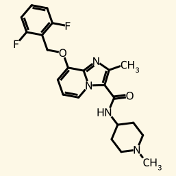 Cc1nc2c(OCc3c(F)cccc3F)cccn2c1C(=O)NC1CCN(C)CC1